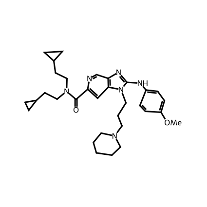 COc1ccc(Nc2nc3cnc(C(=O)N(CCC4CC4)CCC4CC4)cc3n2CCCN2CCCCC2)cc1